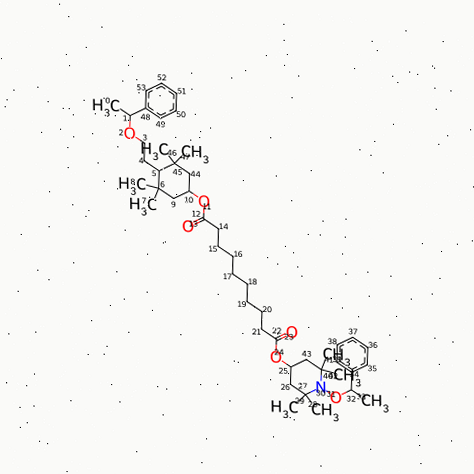 CC(OCCC1C(C)(C)CC(OC(=O)CCCCCCCCC(=O)OC2CC(C)(C)N(OC(C)c3ccccc3)C(C)(C)C2)CC1(C)C)c1ccccc1